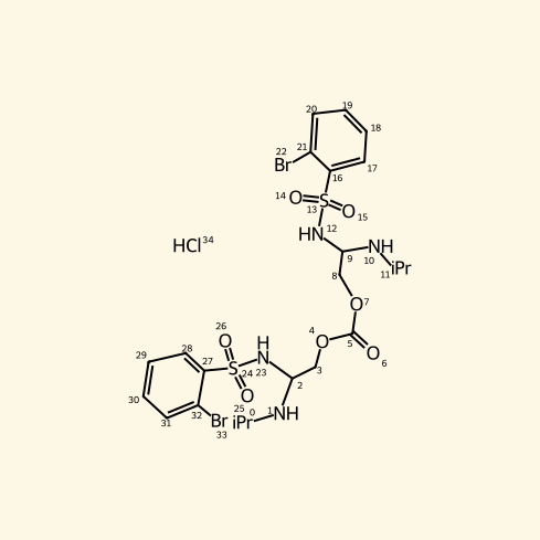 CC(C)NC(COC(=O)OCC(NC(C)C)NS(=O)(=O)c1ccccc1Br)NS(=O)(=O)c1ccccc1Br.Cl